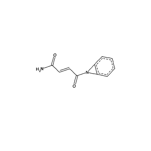 NC(=O)C=CC(=O)N1c2ccccc21